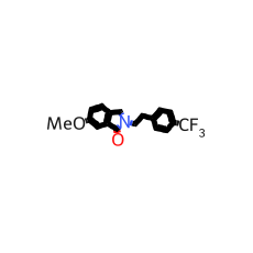 COc1ccc2c(c1)C(=O)N(CCc1ccc(C(F)(F)F)cc1)C2